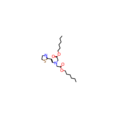 CCCCCCOC(=O)CN(C=CC1=NCCS1)CC(=O)OCCCCCC